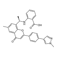 Cc1cc([C@@H](C)Nc2ccccc2C(=O)O)c2oc(-c3ccc(-c4cnn(C)c4)cc3)cc(=O)c2c1